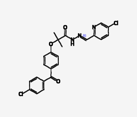 CC(C)(Oc1ccc(C(=O)c2ccc(Cl)cc2)cc1)C(=O)N/N=C/c1ccc(Cl)cn1